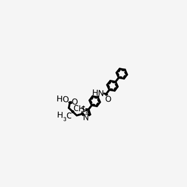 CC(C)(CC(=O)O)Cc1ncc(-c2ccc(NC(=O)c3ccc(-c4ccccc4)cc3)cc2)s1